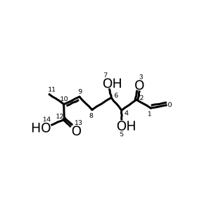 C=CC(=O)C(O)C(O)CC=C(C)C(=O)O